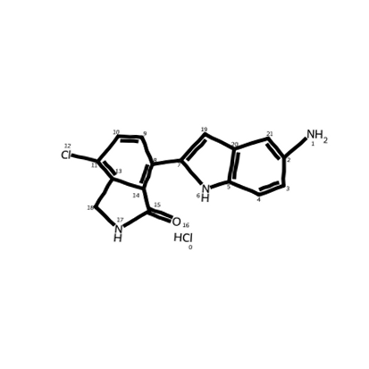 Cl.Nc1ccc2[nH]c(-c3ccc(Cl)c4c3C(=O)NC4)cc2c1